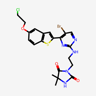 CC1(C)NC(=O)N(CCNc2ncc(Br)c(-c3cc4cc(OCCCl)ccc4s3)n2)C1=O